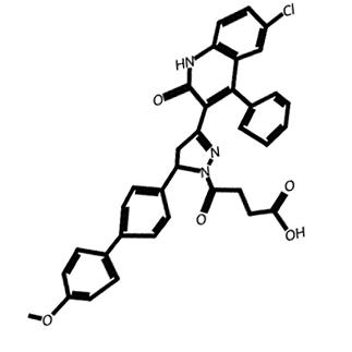 COc1ccc(-c2ccc(C3CC(c4c(-c5ccccc5)c5cc(Cl)ccc5[nH]c4=O)=NN3C(=O)CCC(=O)O)cc2)cc1